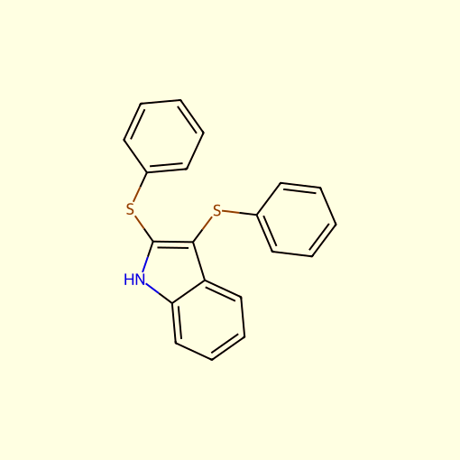 c1ccc(Sc2[nH]c3ccccc3c2Sc2ccccc2)cc1